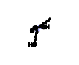 CCCCCC(O)/C=C/C1C=CC(=O)/C1=C\CCCCCCO